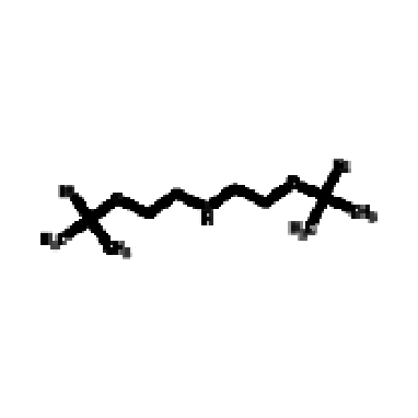 CCC(C)(C)OCCNCCOC(C)(C)CC